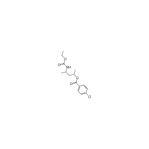 CCOC(=O)NC(C)CC(C)OC(=O)c1ccc(Cl)cc1